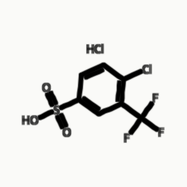 Cl.O=S(=O)(O)c1ccc(Cl)c(C(F)(F)F)c1